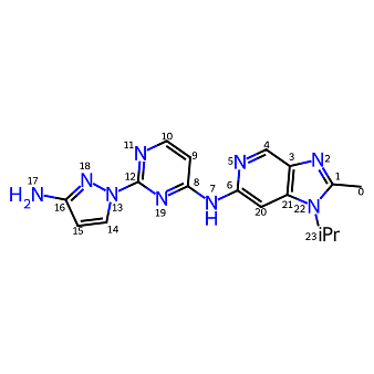 Cc1nc2cnc(Nc3ccnc(-n4ccc(N)n4)n3)cc2n1C(C)C